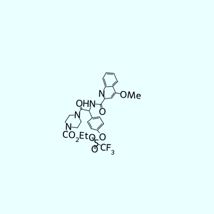 CCOC(=O)N1CCN(C(=O)C(NC(=O)c2cc(OC)c3ccccc3n2)c2ccc(OS(=O)(=O)C(F)(F)F)cc2)CC1